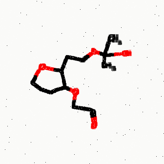 CC(C)(O)OCCC1OCCC1OCC=O